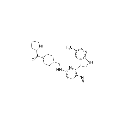 C=Nc1cnc(NCC2CCN(C(=O)[C@H]3CCCN3)CC2)nc1C1CNc2ncc(C(F)(F)F)cc21